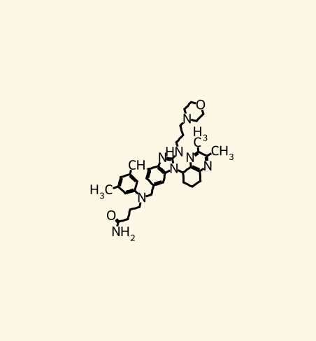 Cc1cc(C)cc(N(CCCC(N)=O)Cc2ccc3nc(NCCCN4CCOCC4)n(C4CCCc5nc(C)c(C)nc54)c3c2)c1